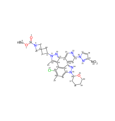 CCCCOC(=O)N1CC2(CC(n3nc(-c4ccc(-n5ccc([N+](=O)[O-])n5)nc4)c(-c4c(Cl)c(C)cc5c4cnn5C4CCCCO4)c3C)C2)C1